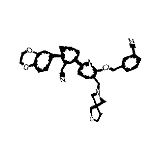 N#Cc1cccc(COc2nc(-c3cccc(-c4ccc5c(c4)OCCO5)c3C#N)ccc2CN2CC3(CCOC3)C2)c1